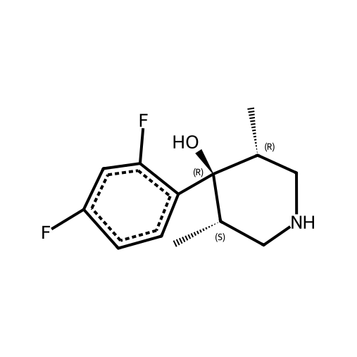 C[C@@H]1CNC[C@H](C)[C@]1(O)c1ccc(F)cc1F